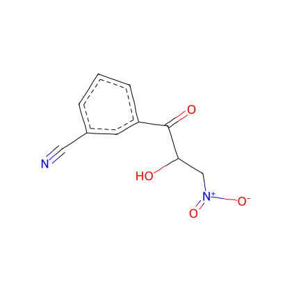 N#Cc1cccc(C(=O)C(O)C[N+](=O)[O-])c1